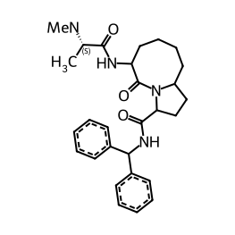 CN[C@@H](C)C(=O)NC1CCCCC2CCC(C(=O)NC(c3ccccc3)c3ccccc3)N2C1=O